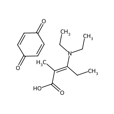 CCC(=C(C)C(=O)O)N(CC)CC.O=C1C=CC(=O)C=C1